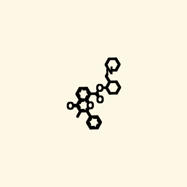 Cc1c(-c2ccccc2)oc2c(C(=O)OC3CCCCC3CN3CCCCC3)cccc2c1=O